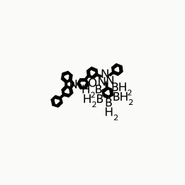 Bc1c(B)c(B)c(-c2nc(-c3ccccc3)nc(-c3cccc4c3oc3ccc(-n5c6ccccc6c6cc(-c7ccccc7)ccc65)cc34)n2)c(B)c1B